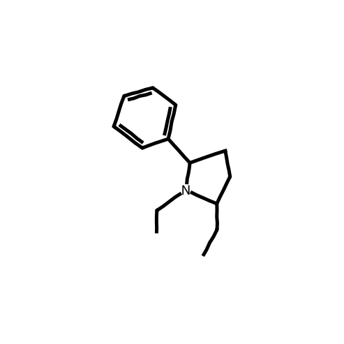 CCC1CCC(c2ccccc2)N1CC